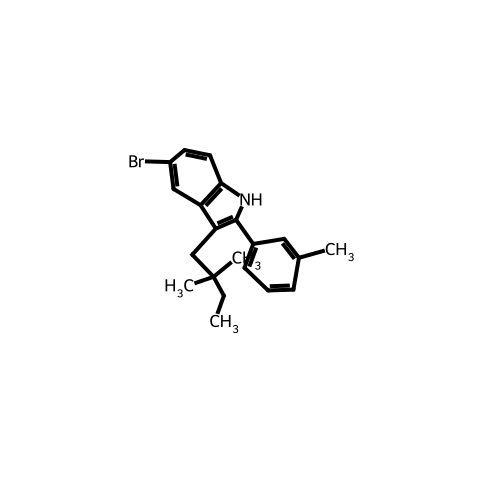 CCC(C)(C)Cc1c(-c2cccc(C)c2)[nH]c2ccc(Br)cc12